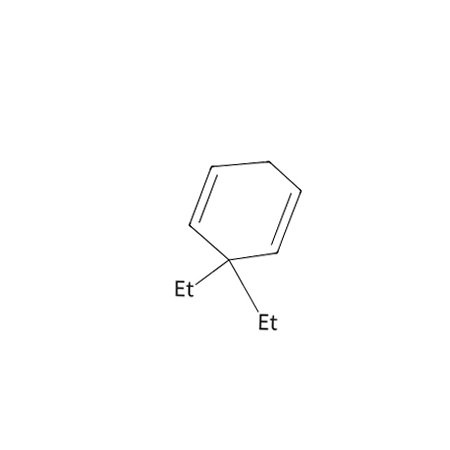 CCC1(CC)C=CCC=C1